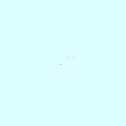 CCC[CH2][Ti](=[SiH2])([CH2]CCC)([c]1ccccc1)([c]1ccccc1)([CH]1C(C)=Cc2c(-c3ccccc3)cccc21)[CH]1C(C)=Cc2c(-c3ccccc3)cccc21